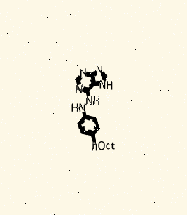 CCCCCCCCc1ccc(NNc2ncnc3nc[nH]c23)cc1